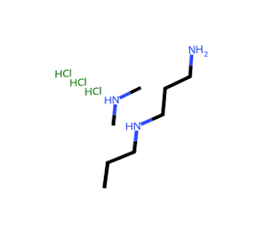 CCCNCCCN.CNC.Cl.Cl.Cl